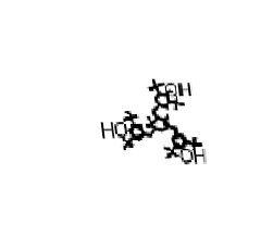 CC1=C(Cc2cc(C(C)(C)C)c(O)c(C(C)(C)C)c2)C=C(Cc2cc(C(C)(C)C)c(O)c(C(C)(C)C)c2)C(C)(C)C1Cc1cc(C(C)(C)C)c(O)c(C(C)(C)C)c1